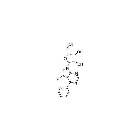 OC[C@H]1O[C@@H](n2cc(F)c3c(-c4ccccc4)ncnc32)[C@H](O)[C@@H]1O